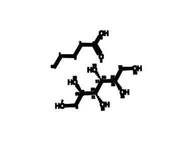 CCCCC(=O)O.OC[C@@H](O)[C@@H](O)[C@H](O)[C@H](O)CO